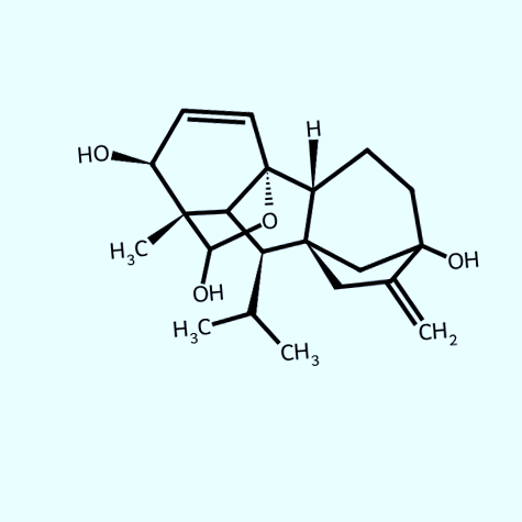 C=C1C[C@]23CC1(O)CC[C@H]2[C@@]12C=C[C@H](O)[C@@](C)(C(O)O1)C2[C@@H]3C(C)C